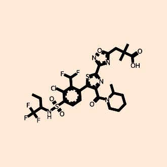 CCC(NS(=O)(=O)c1ccc(-c2sc(-c3noc(CC(C)(C)C(=O)O)n3)nc2C(=O)N2CCCCC2C)c(C(F)F)c1Cl)C(F)(F)F